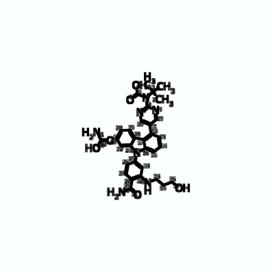 CC(C)(C)N(C(=O)O)c1ncc(-c2cccc3c2c2ccccc2n3-c2ccc(C(N)=O)c(NCCCO)c2)cn1.NC(=O)O